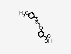 Cc1ccc(SOCCOc2cccc(C(=O)O)c2)cc1